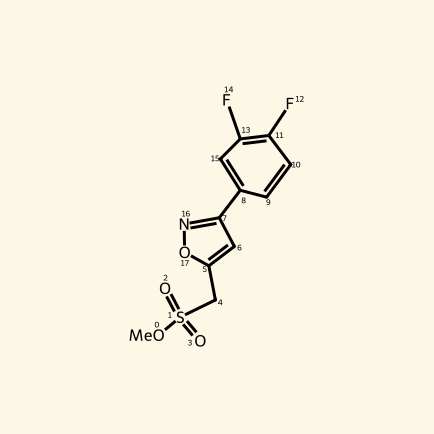 COS(=O)(=O)Cc1cc(-c2ccc(F)c(F)c2)no1